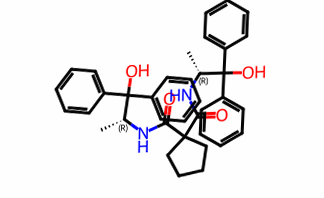 C[C@@H](NC(=O)C1(C(=O)N[C@H](C)C(O)(c2ccccc2)c2ccccc2)CCCC1)C(O)(c1ccccc1)c1ccccc1